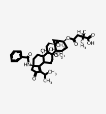 CC(C)C1=C2C3CC[C@@]4(C)C(C)(CC[C@@]56CC5(C)[C@@H](OC(=O)CC(C)(C)C(=O)O)CC[C@@]64C)[C@]3(C)CC[C@@]2(NC(=O)c2ccccc2)CC1=O